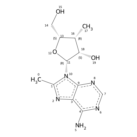 Cc1nc2c(N)ncnc2n1[C@@H]1O[C@H](CO)[C@H](C)[C@@H]1O